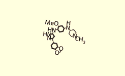 COc1cc(NC2CCN(C)CC2)ccc1Nc1cc(-c2ccc3c(c2)OCO3)n[nH]1